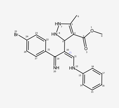 COC(=O)C1=C(C)NNC1/C(=C/Nc1ccccc1)C(=N)c1ccc(Br)cc1